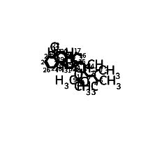 CC[C@@H](C(C)C)[C@@H]1OC(C)(C)O[C@H]1[C@@H](C)[C@H]1CC[C@H]2[C@@H]3CC(=O)[C@H]4CC=CC[C@]4(C)[C@H]3CC[C@]12C